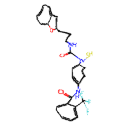 O=C(Nc1ccc(N(S)C(=O)NCCc2cc3ccccc3o2)cc1)c1ccccc1C(F)(F)F